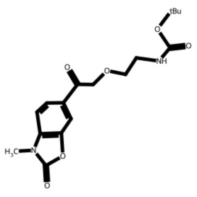 Cn1c(=O)oc2cc(C(=O)COCCNC(=O)OC(C)(C)C)ccc21